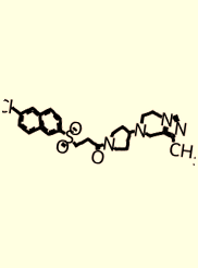 Cc1ncn2c1CN(C1CCN(C(=O)CCS(=O)(=O)c3ccc4cc(Cl)ccc4c3)CC1)CC2